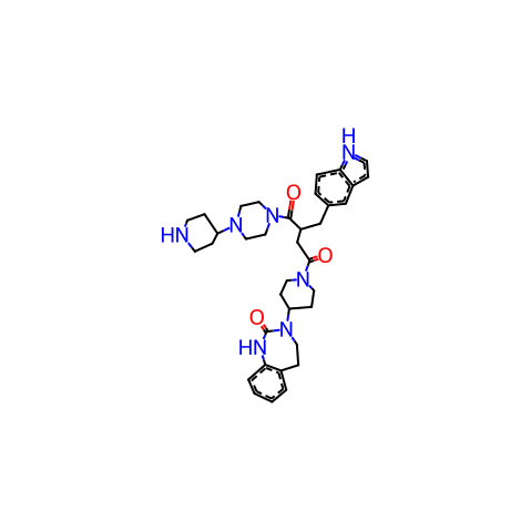 O=C(CC(Cc1ccc2[nH]ccc2c1)C(=O)N1CCN(C2CCNCC2)CC1)N1CCC(N2CCc3ccccc3NC2=O)CC1